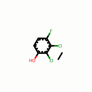 CC.Oc1ccc(F)c(Cl)c1Cl